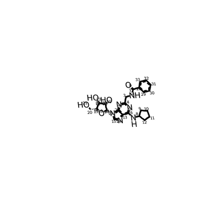 O=C(NCc1nc(NC2CCCC2)c2ncn([C@@H]3O[C@H](CO)[C@@H](O)[C@@H]3O)c2n1)c1ccccc1